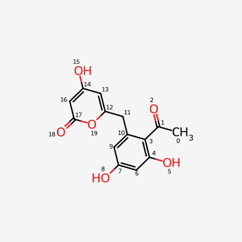 CC(=O)c1c(O)cc(O)cc1Cc1cc(O)cc(=O)o1